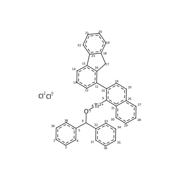 [Cl-].[Cl-].c1ccc(C([O][Ti+2][c]2c(-c3cccc4c3Cc3ccccc3-4)ccc3ccccc23)c2ccccc2)cc1